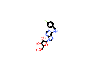 C[C@H](Nc1ncnc2c1ncn2C1OC(CO)C(O)C1O)c1ccc(F)cc1